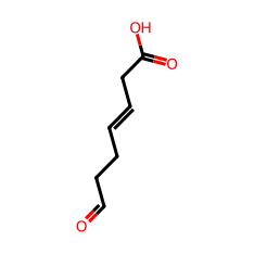 O=CCC/C=C/CC(=O)O